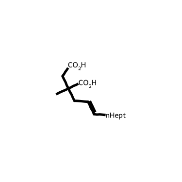 CCCCCCCC=CCC(C)(CC(=O)O)C(=O)O